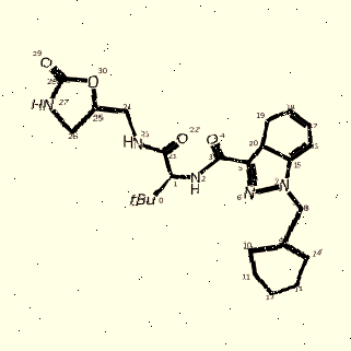 CC(C)(C)[C@H](NC(=O)C1=NN(CC2CCCCC2)C2=CC=CCC21)C(=O)NCC1CNC(=O)O1